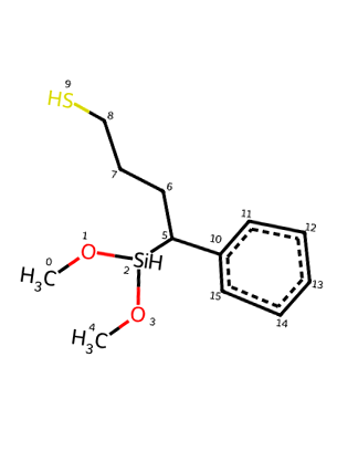 CO[SiH](OC)C(CCCS)c1ccccc1